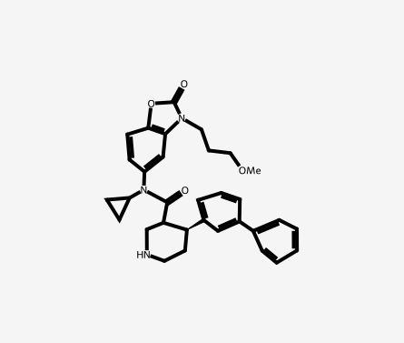 COCCCn1c(=O)oc2ccc(N(C(=O)C3CNCC[C@@H]3c3cccc(-c4ccccc4)c3)C3CC3)cc21